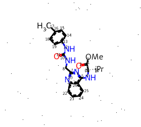 COC(=O)[C@@H](Nc1nc(CNC(=O)Nc2ccc(C)cc2)nc2ccccc12)C(C)C